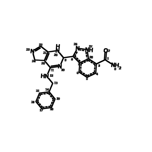 NC(=O)c1cccc2c(C3N=C(NCc4ccccc4)C4=C(C=NC4)N3)n[nH]c12